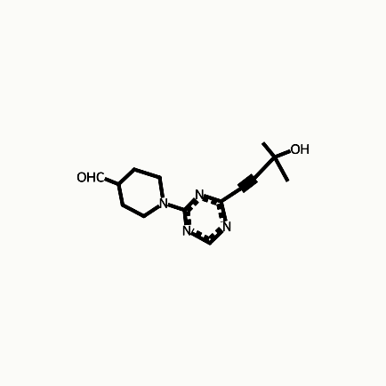 CC(C)(O)C#Cc1ncnc(N2CCC(C=O)CC2)n1